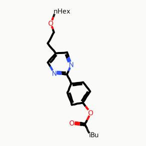 CCCCCCOCCc1cnc(-c2ccc(OC(=O)C(C)CC)cc2)nc1